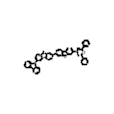 c1ccc(-c2nc(-c3ccccc3)nc(-c3ccc4c(c3)oc3cc(-c5ccc6c(c5)sc5ccc(-n7c8ccccc8c8ccccc87)cc56)ccc34)n2)cc1